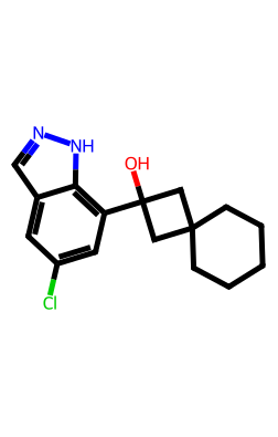 OC1(c2cc(Cl)cc3cn[nH]c23)CC2(CCCCC2)C1